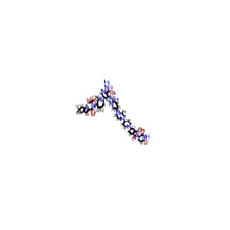 C[C@H]1CN(C2CCN(c3ccc4c(c3)C(=O)N(C3CCC(=O)NC3=O)C4=O)CC2)CCN1c1ccc(Nc2cc(N3CCC[C@H](N4CCn5c(cc6c5CC(C)(C)C6)C4=O)[C@H]3CO)cnc2C(N)=O)nc1